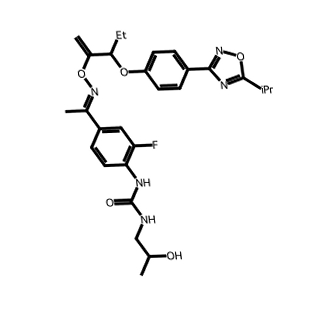 C=C(O/N=C(\C)c1ccc(NC(=O)NCC(C)O)c(F)c1)C(CC)Oc1ccc(-c2noc(C(C)C)n2)cc1